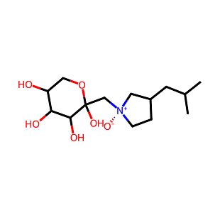 CC(C)CC1CC[N@@+]([O-])(CC2(O)OCC(O)C(O)C2O)C1